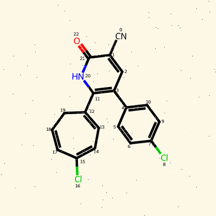 N#Cc1cc(-c2ccc(Cl)cc2)c(C2=CC=C(Cl)C=CC2)[nH]c1=O